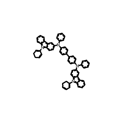 C1=CCCC(n2c3ccccc3c3cc(N(c4ccccc4)c4ccc(-c5ccc(N(c6ccccc6)c6ccc7c(c6)c6ccccc6n7C6=CCCC=C6)cc5)cc4)ccc32)=C1